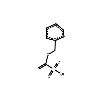 C=C(OCc1ccccc1)S(=O)(=O)O